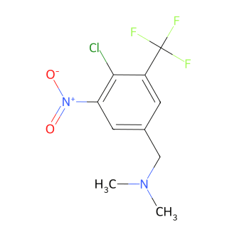 CN(C)Cc1cc([N+](=O)[O-])c(Cl)c(C(F)(F)F)c1